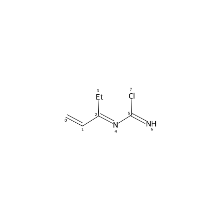 C=C/C(CC)=N/C(=N)Cl